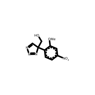 COc1cc([N+](=O)[O-])ccc1C1(CO)C=NN=N1